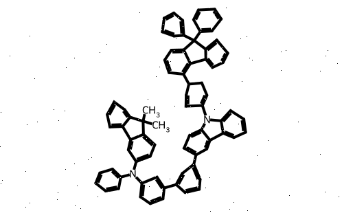 CC1(C)c2ccccc2-c2cc(N(c3ccccc3)c3cccc(-c4cccc(-c5ccc6c(c5)c5ccccc5n6C5=CCC(c6cccc7c6-c6ccccc6C7(c6ccccc6)c6ccccc6)C=C5)c4)c3)ccc21